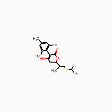 CCCC(CC)SCC(C)C1CC(O)=C(c2c(C)cc(C)cc2C)C(=O)O1